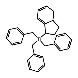 C1=CCC2CC[CH]([Ti]([CH2]c3ccccc3)([CH2]c3ccccc3)[CH2]c3ccccc3)C2=C1